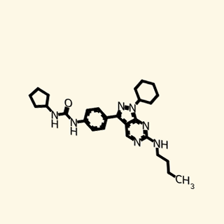 CCCCNc1ncc2c(-c3ccc(NC(=O)NC4CCCC4)cc3)nn(C3CCCCC3)c2n1